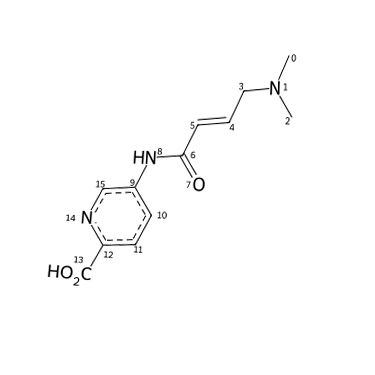 CN(C)CC=CC(=O)Nc1ccc(C(=O)O)nc1